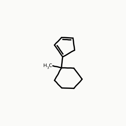 CC1(C2=CC=CC2)CCCCC1